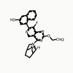 O=CCOc1nc(N2CC3CCC(C2)N3C(=O)O)c2cnc(-c3cc(O)cc4ccccc34)c(F)c2n1